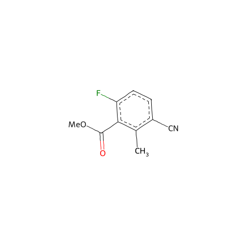 COC(=O)c1c(F)ccc(C#N)c1C